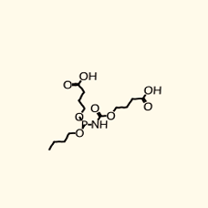 CCCCOP(NC(=O)OCCCC(=O)O)OCCCC(=O)O